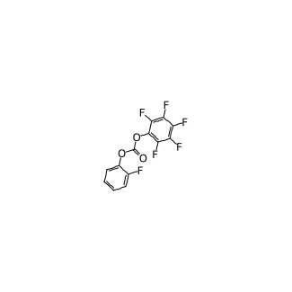 O=C(Oc1ccccc1F)Oc1c(F)c(F)c(F)c(F)c1F